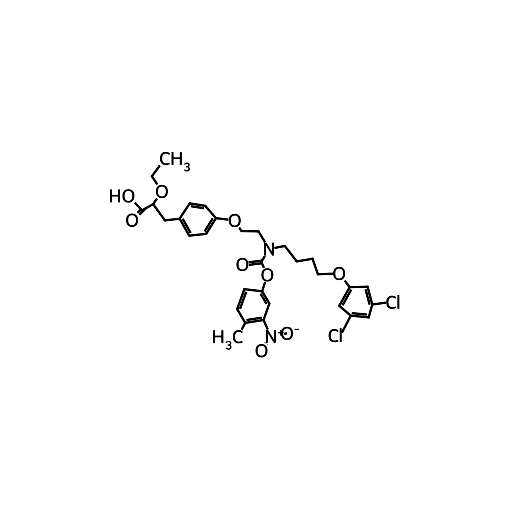 CCOC(Cc1ccc(OCCN(CCCCOc2cc(Cl)cc(Cl)c2)C(=O)Oc2ccc(C)c([N+](=O)[O-])c2)cc1)C(=O)O